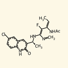 C=N/C(N[C@@H](C)c1cc2cc(Cl)ccc2[nH]c1=O)=C(F)\C(=C/C)NC(C)=O